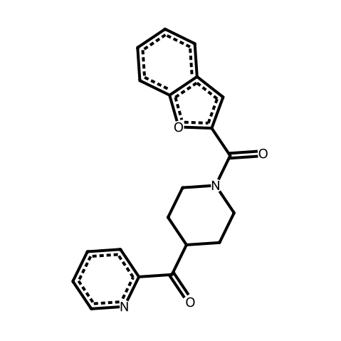 O=C(c1ccccn1)C1CCN(C(=O)c2cc3ccccc3o2)CC1